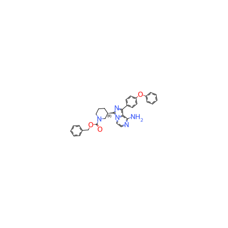 Nc1nccn2c([C@@H]3CCCN(C(=O)OCc4ccccc4)C3)nc(-c3ccc(Oc4ccccc4)cc3)c12